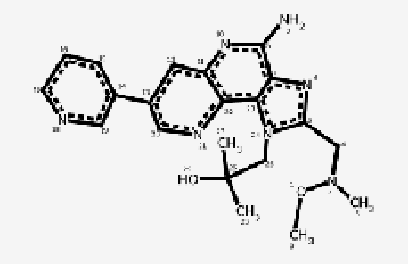 CON(C)Cc1nc2c(N)nc3cc(-c4cccnc4)cnc3c2n1CC(C)(C)O